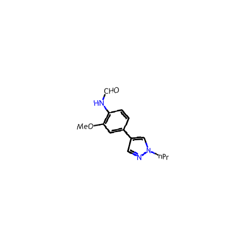 CCCn1cc(-c2ccc(NC=O)c(OC)c2)cn1